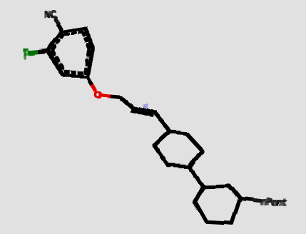 CCCCCC1CCCC(C2CCC(/C=C/COc3ccc(C#N)c(F)c3)CC2)C1